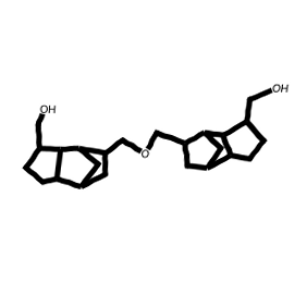 OCC1CCC2C3CC(COCC4CC5CC4C4C(CO)CCC54)C(C3)C12